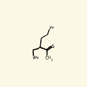 CC(=S)C(CCC(C)C)CC(C)C